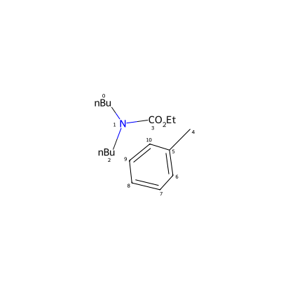 CCCCN(CCCC)C(=O)OCC.Cc1ccccc1